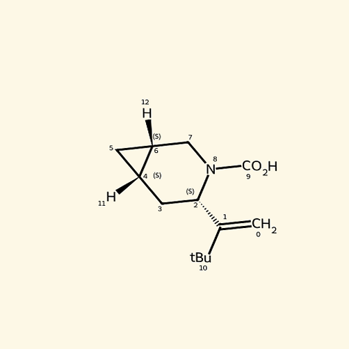 C=C([C@@H]1C[C@@H]2C[C@@H]2CN1C(=O)O)C(C)(C)C